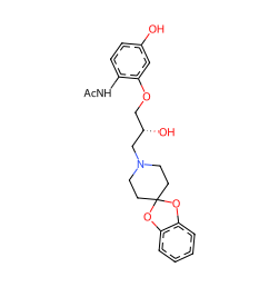 CC(=O)Nc1ccc(O)cc1OC[C@H](O)CN1CCC2(CC1)Oc1ccccc1O2